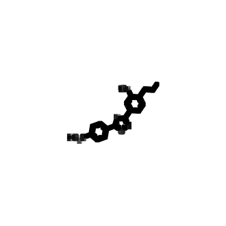 C/C=C/c1ccc(-c2noc(-c3ccc(C(=O)O)cc3)n2)cc1C(C)(C)C